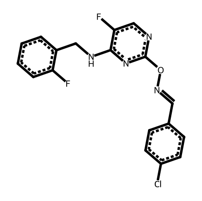 Fc1ccccc1CNc1nc(ON=Cc2ccc(Cl)cc2)ncc1F